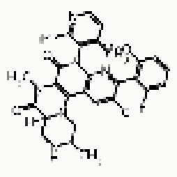 COc1cccc(F)c1-c1nc2c(cc1Cl)c1c(c(=O)n2-c2c(C)ccnc2C(C)C)N(C)C(=O)[C@H]2CN[C@H](C)CN12